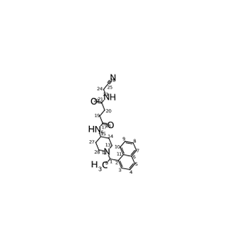 CC(c1cccc2ccccc12)N1CCC(NC(=O)CCC(=O)NCC#N)CC1